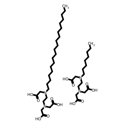 CCCCCCCCCCCCCCCCCCCCN(CCN(CC(=O)O)CC(=O)O)CC(=O)O.CCCCCCCCN(CCN(CC(=O)O)CC(=O)O)CC(=O)O